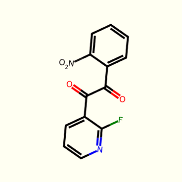 O=C(C(=O)c1cccnc1F)c1ccccc1[N+](=O)[O-]